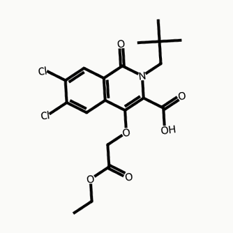 CCOC(=O)COc1c(C(=O)O)n(CC(C)(C)C)c(=O)c2cc(Cl)c(Cl)cc12